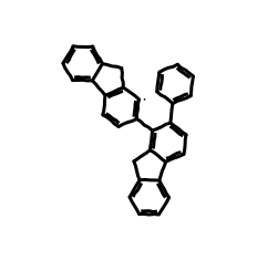 [c]1c(-c2c(-c3ccccc3)ccc3c2Cc2ccccc2-3)ccc2c1Cc1ccccc1-2